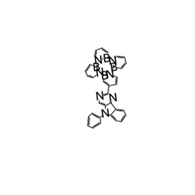 C1=CB2N(C=C1)B1C=CC=CN1B1C=C(c3ncc4c(n3)c3ccccc3n4-c3ccccc3)C=CN1B1C=CC=CN21